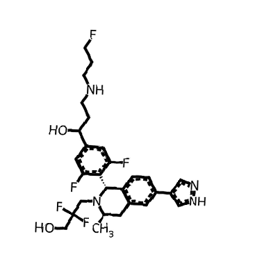 C[C@@H]1Cc2cc(-c3cn[nH]c3)ccc2[C@@H](c2c(F)cc(C(O)CCNCCCF)cc2F)N1CC(F)(F)CO